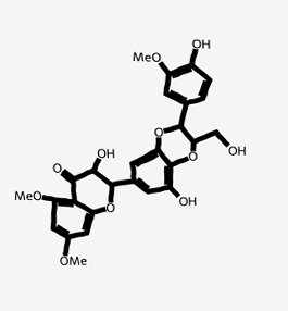 COc1cc(OC)c2c(c1)OC(c1cc(O)c3c(c1)OC(c1ccc(O)c(OC)c1)C(CO)O3)C(O)C2=O